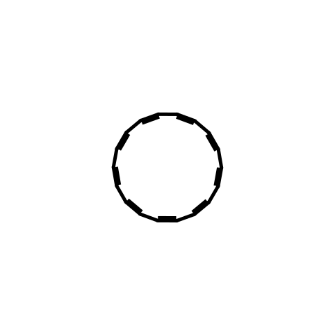 c1ccccccccccccccccc1